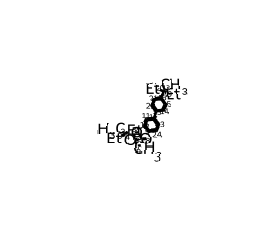 CCC(C)(CC)OP(C)(=O)Oc1ccc(-c2ccc(C(C)(CC)CC)cc2)cc1